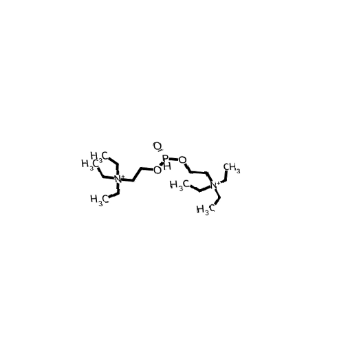 CC[N+](CC)(CC)CCO[PH](=O)OCC[N+](CC)(CC)CC